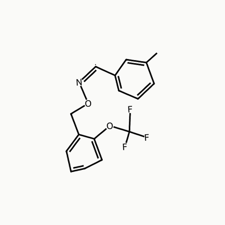 Cc1cccc(/[C]=N\OCc2ccccc2OC(F)(F)F)c1